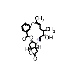 CC(C)=CCC(C)[C@H](O)/C=C/[C@@H]1[C@H]2CC(=O)O[C@H]2C[C@H]1OC(=O)c1ccccc1